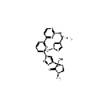 C[C@@H](Nc1nccc(-c2cccc(-n3cc([C@]4(O)CCN(C)C4=O)nn3)n2)n1)c1cnn(C)c1